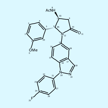 COc1cccc([C@@H]2[C@@H](NC(C)=O)CC(=O)N2c2ccc3c(cnn3-c3ccc(F)cc3)c2)c1